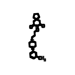 Cc1cccc(N2CCN(CCCON3C(=O)CC4(CCCC4)CC3=O)CC2)c1